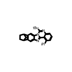 CC(C)c1cccc2nc(C(C)(C)C)n3c4cc5c(cc4nc3c12)C1CCC5C1